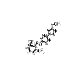 OCc1cn(-c2ncc(OCc3c(C(F)(F)F)cccc3C(F)(F)F)cn2)cn1